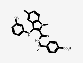 Cc1ccc2c(c1)c(Nc1cccc(C(F)(F)F)c1)c(C(=O)N[C@@H](C)c1ccc(C(=O)O)cc1)n2C